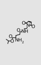 CC(C)OC(=O)[C@H](N)CCC(=O)NCCN1C(=O)C=CC1=O